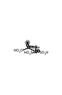 COCC[N+]1=C(/C=C/C=C/C=C2/N(CCCCCC(=O)O)c3ccc(S(=O)(=O)[O-])cc3C2(C)CCOC)C(C)(CCCS(=O)(=O)O)c2cc(S(=O)(=O)O)ccc21